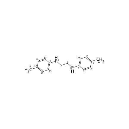 Cc1ccc(PCCPc2ccc(C)cc2)cc1